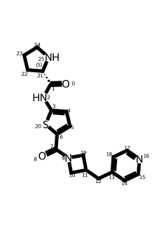 O=C(Nc1ccc(C(=O)N2CC(Cc3ccncc3)C2)s1)[C@@H]1CCCN1